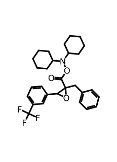 O=C(ON(C1CCCCC1)C1CCCCC1)C1(Cc2ccccc2)OC1c1cccc(C(F)(F)F)c1